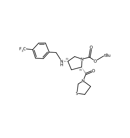 CC(C)(C)OC(=O)N1C[C@@H](NCc2ccc(C(F)(F)F)cc2)C[C@H]1C(=O)N1CCSC1